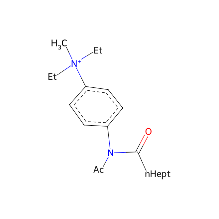 CCCCCCCC(=O)N(C(C)=O)c1ccc([N+](C)(CC)CC)cc1